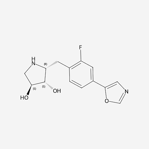 O[C@@H]1[C@@H](O)CN[C@@H]1Cc1ccc(-c2cnco2)cc1F